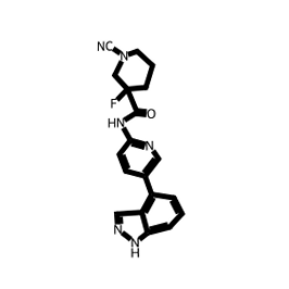 N#CN1CCCC(F)(C(=O)Nc2ccc(-c3cccc4[nH]ncc34)cn2)C1